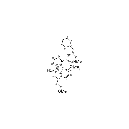 CNCC(CC1CCCCC1)NC(=O)N1CCC[C@@H]([C@@](O)(CCCCOC)c2cccc(OC(F)(F)F)c2)C1